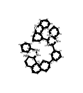 N=C1C=Cc2ccc3ccc(-c4cccc(-c5nc(-c6cccc7oc8ccccc8c67)[n+]6ccccc6n5)c4)cc3c2/C1=N/Nc1ccccc1